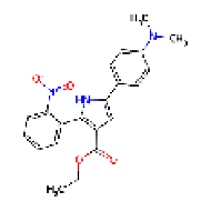 CCOC(=O)c1cc(-c2ccc(N(C)C)cc2)[nH]c1-c1ccccc1[N+](=O)[O-]